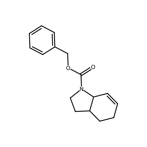 O=C(OCc1ccccc1)N1CCC2CCC=CC21